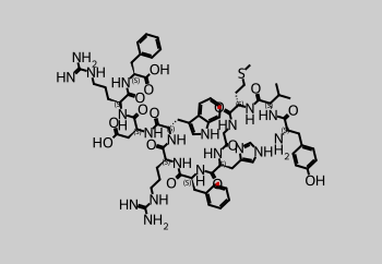 CSCC[C@H](NC(=O)[C@@H](NC(=O)[C@@H](N)Cc1ccc(O)cc1)C(C)C)C(=O)NCC(=O)N[C@@H](Cc1c[nH]cn1)C(=O)N[C@@H](Cc1ccccc1)C(=O)N[C@@H](CCCNC(=N)N)C(=O)N[C@@H](Cc1c[nH]c2ccccc12)C(=O)N[C@@H](CC(=O)O)C(=O)N[C@@H](CCCNC(=N)N)C(=O)N[C@@H](Cc1ccccc1)C(=O)O